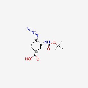 CC(C)(C)OC(=O)N[C@@H]1C[C@@H](C(=O)O)CC[C@@H]1N=[N+]=[N-]